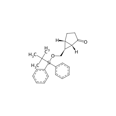 CC(C)(C)[Si](OC[C@H]1[C@@H]2CCC(=O)[C@@H]21)(c1ccccc1)c1ccccc1